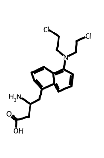 NC(CC(=O)O)Cc1cccc2c(N(CCCl)CCCl)cccc12